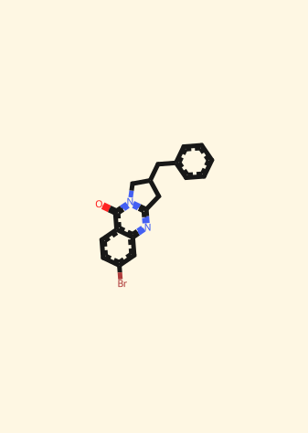 O=c1c2ccc(Br)cc2nc2n1CC(Cc1ccccc1)C2